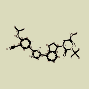 COC(=O)CN(C(=O)OC(C)(C)C)C1CCc2c(-c3cnc(-c4ccc(OC(C)C)c(C#N)c4)s3)cccc21